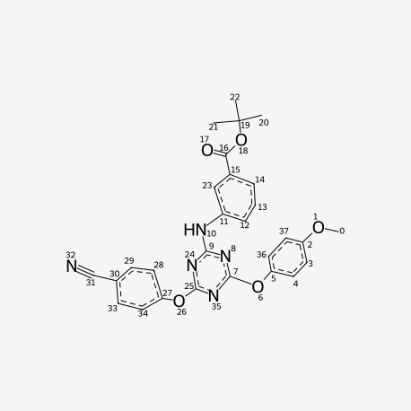 COc1ccc(Oc2nc(Nc3cccc(C(=O)OC(C)(C)C)c3)nc(Oc3ccc(C#N)cc3)n2)cc1